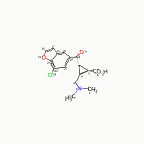 CN(C)CC1[C@H](C(=O)O)[C@H]1C(=O)c1cc(Cl)c2occc2c1